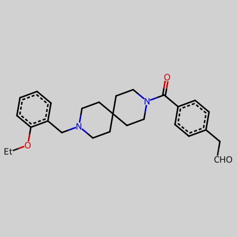 CCOc1ccccc1CN1CCC2(CC1)CCN(C(=O)c1ccc(CC=O)cc1)CC2